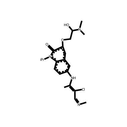 C/N=C\C(Cl)=C(/C)Nc1ccc2c(c1)cc(OCC(O)N(C)C)c(=O)n2C(C)C